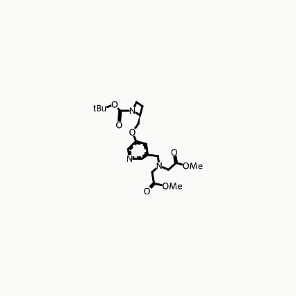 COC(=O)CN(CC(=O)OC)Cc1cncc(OC[C@@H]2CCN2C(=O)OC(C)(C)C)c1